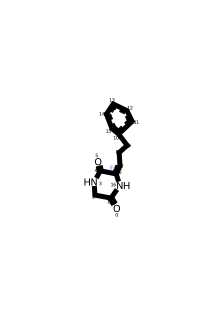 O=C1CNC(=O)/C(=C\CCc2ccccc2)N1